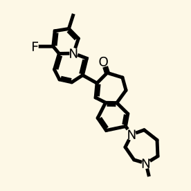 CC1=CN2C=C(C3=Cc4ccc(N5CCCN(C)CC5)cc4CCC3=O)C=CC=C2C(F)=C1